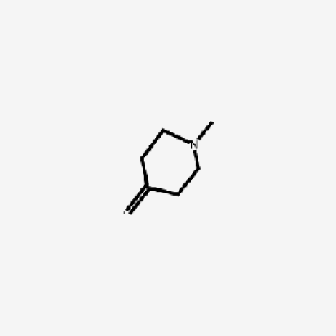 [CH]=C1CCN(C)CC1